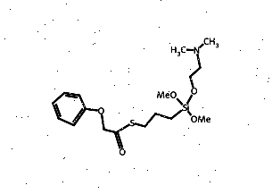 CO[Si](CCCSC(=O)COc1ccccc1)(OC)OCCN(C)C